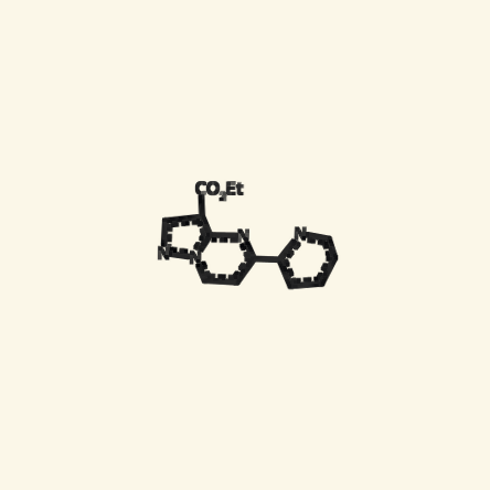 CCOC(=O)c1cnn2ccc(-c3ccccn3)nc12